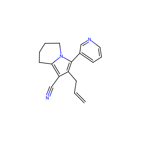 C=CCc1c(C#N)c2n(c1-c1cccnc1)CCCC2